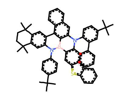 CC(C)(C)c1ccc(N2B3c4cc5sc6ccccc6c5cc4N(c4ccc(C(C)(C)C)cc4-c4ccccc4)c4cc5ccccc5c(c43)-c3cc4c(cc32)C(C)(C)CCC4(C)C)cc1